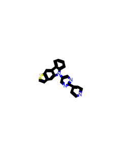 c1ccc2c(c1)c1cc3sccc3cc1n2-c1cnc(-c2ccncc2)nc1